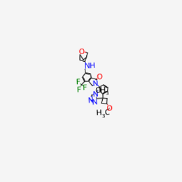 COC1CC(c2cccc(N3Cc4c(cc(CNC5CC6CC5CO6)cc4C(F)(F)F)C3=O)c2)(c2nncn2C)C1